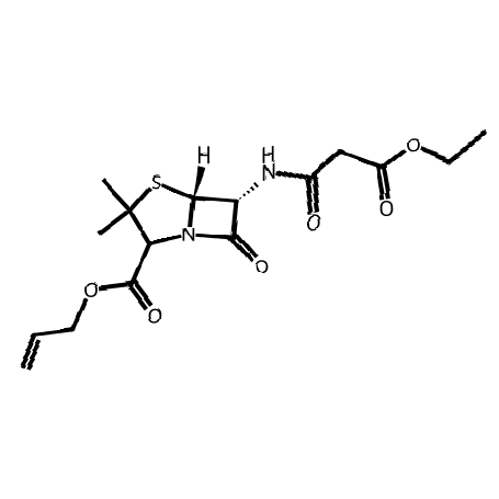 C=CCOC(=O)C1N2C(=O)[C@@H](NC(=O)CC(=O)OCC)[C@H]2SC1(C)C